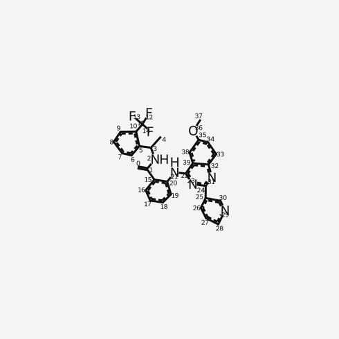 C=C(NC(C)c1ccccc1C(F)(F)F)c1ccccc1Nc1nc(-c2cccnc2)nc2ccc(OC)cc12